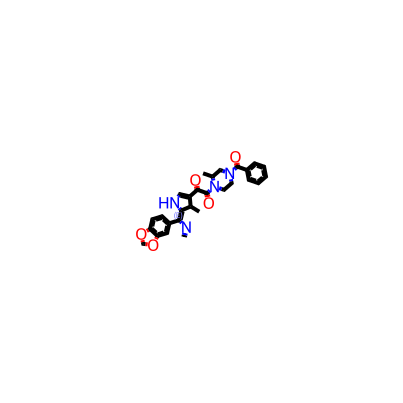 C=N/C(=C1/NC=C(C(=O)C(=O)N2CCN(C(=O)c3ccccc3)CC2C)C1C)c1ccc2c(c1)OCO2